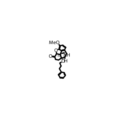 COc1ccc2c3c1OC1C(=O)CC[C@@]4(OCCCc5ccccc5)[C@@H](C2)NCC[C@]314